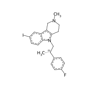 C[C@H](Cn1c2c(c3cc(I)ccc31)CN(C)CC2)c1ccc(F)cc1